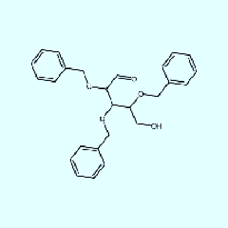 O=CC(OCc1ccccc1)C(OCc1ccccc1)C(CO)OCc1ccccc1